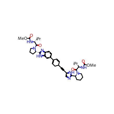 COC(=O)NC(C(=O)N1CCCCC1c1ncc(C#CC2C=CC(c3ccc4nc([C@@H]5CCCN5C(=O)[C@H](NC(=O)OC)C(C)C)[nH]c4c3)=CC2)[nH]1)C(C)C